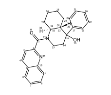 O=C(c1ccc2ccccc2n1)N1CCC(O)(c2ccccc2)[C@H]2CCCC[C@@H]21